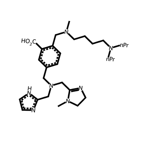 CCCN(CCC)CCCCN(C)Cc1ccc(CN(CC2=NCCN2C)Cc2ncc[nH]2)cc1C(=O)O